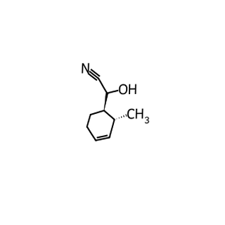 C[C@@H]1C=CCC[C@H]1C(O)C#N